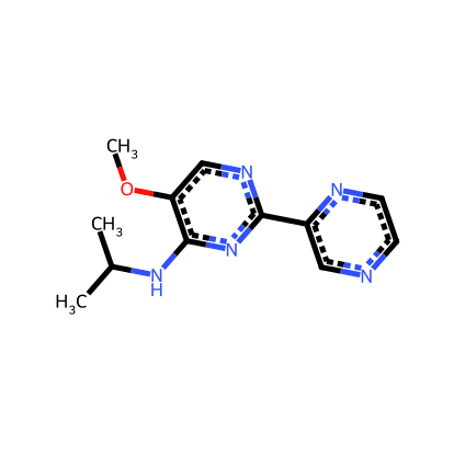 COc1cnc(-c2cnccn2)nc1NC(C)C